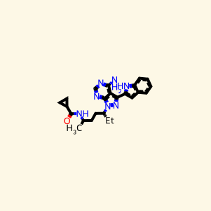 CCC(CCC(C)NC(=O)C1CC1)n1nc(-c2cc3ccccc3[nH]2)c2c(N)ncnc21